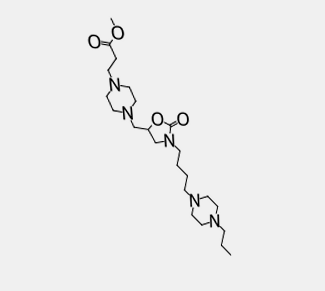 CCCN1CCN(CCCCN2CC(CN3CCN(CCC(=O)OC)CC3)OC2=O)CC1